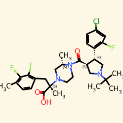 Cc1ccc(C[C@@](C)(C(=O)O)N2CCN(C(=O)[C@@H]3CN(C(C)(C)C)C[C@H]3c3ccc(Cl)cc3F)[C@@H](C)C2)c(F)c1F